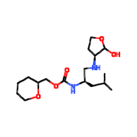 CC(C)C[C@H](CN[C@H]1CCOC1O)NC(=O)OCC1CCCCO1